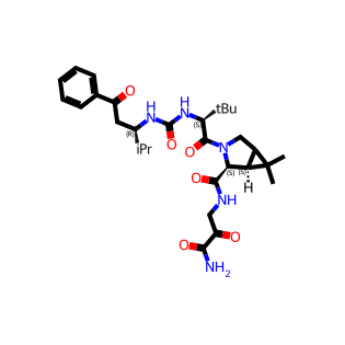 CC(C)[C@@H](CC(=O)c1ccccc1)NC(=O)N[C@H](C(=O)N1CC2[C@H]([C@H]1C(=O)NCC(=O)C(N)=O)C2(C)C)C(C)(C)C